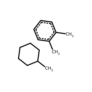 CC1CCCCC1.Cc1ccccc1C